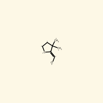 CC1(C)CCOC1=CCl